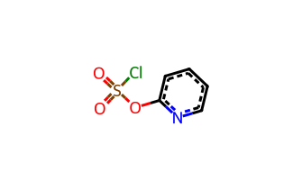 O=S(=O)(Cl)Oc1ccccn1